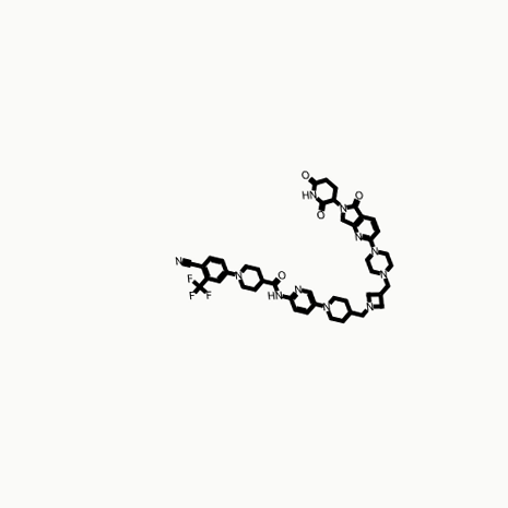 N#Cc1ccc(N2CCC(C(=O)Nc3ccc(N4CCC(CN5CC(CN6CCN(c7ccc8c(n7)CN(C7CCC(=O)NC7=O)C8=O)CC6)C5)CC4)cn3)CC2)cc1C(F)(F)F